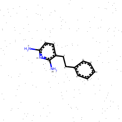 Nc1ccc(CCc2ccccc2)c(N)n1